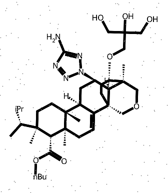 CCCCOC(=O)[C@@H]1[C@@](C)([C@H](C)C(C)C)CC[C@]2(C)[C@H]3CC[C@@H]4[C@@]5(COC[C@]4(C)[C@@H](OCC(O)(CO)CO)[C@H](n4nnc(N)n4)C5)C3=CC[C@@]12C